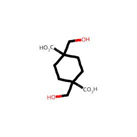 O=C(O)C1(CO)CCC(CO)(C(=O)O)CC1